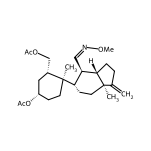 C=C1CC[C@H]2[C@H](/C=N\OC)[C@@H]([C@@]3(C)CC[C@H](OC(C)=O)C[C@@H]3COC(C)=O)CC[C@]12C